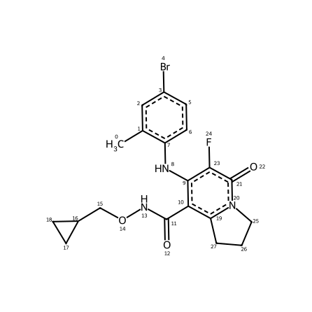 Cc1cc(Br)ccc1Nc1c(C(=O)NOCC2CC2)c2n(c(=O)c1F)CCC2